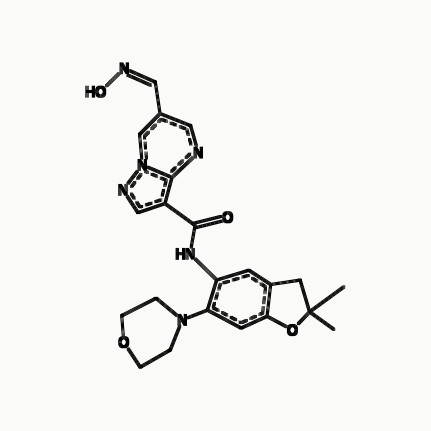 CC1(C)Cc2cc(NC(=O)c3cnn4cc(/C=N\O)cnc34)c(N3CCOCC3)cc2O1